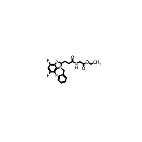 CCOC(=O)CNC(=O)CCC1Sc2c(F)cc(F)c(F)c2N1Cc1ccccc1